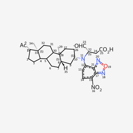 CC(=O)[C@H]1CCC2C3CC[C@H]4C[C@@H](N(c5ccc([N+](=O)[O-])c6nonc56)[C@H]([C]=O)CC(=O)O)CC[C@]4(C)C3CC[C@@]21C